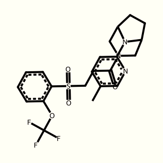 Cc1ccc(N2C3CCC2CN(C(=O)CCS(=O)(=O)c2ccccc2OC(F)(F)F)C3)nc1